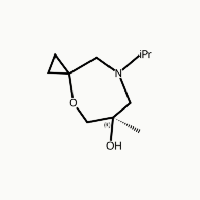 CC(C)N1CC2(CC2)OC[C@](C)(O)C1